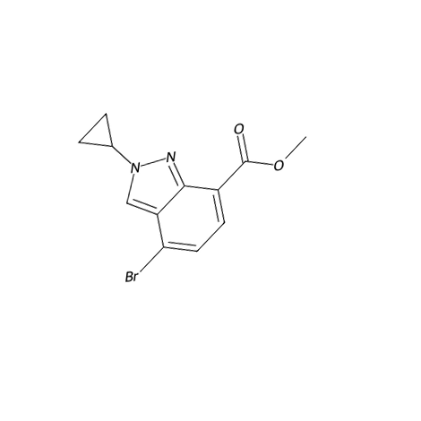 COC(=O)c1ccc(Br)c2cn(C3CC3)nc12